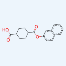 O=C(O)C1CCC(C(=O)Oc2ccc3ccccc3c2)CC1